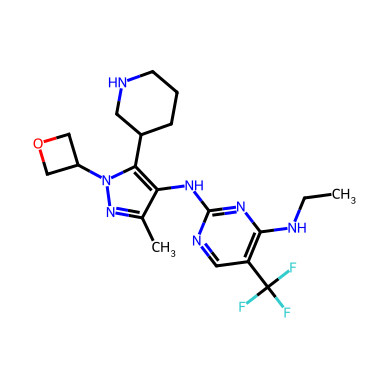 CCNc1nc(Nc2c(C)nn(C3COC3)c2C2CCCNC2)ncc1C(F)(F)F